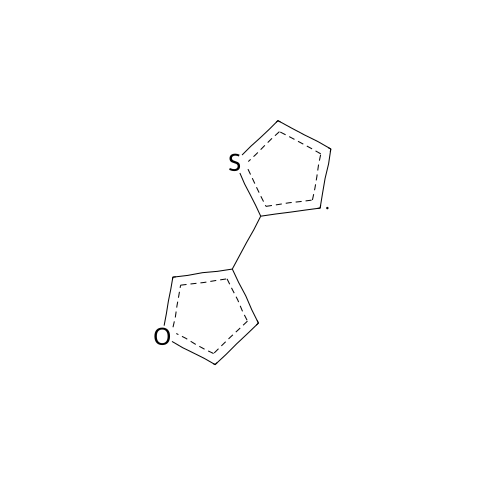 [c]1ccsc1-c1ccoc1